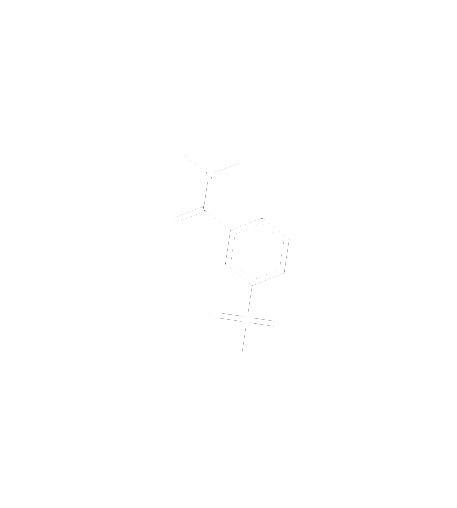 CN(C)C(=O)c1cccc(S(C)(=O)=O)c1